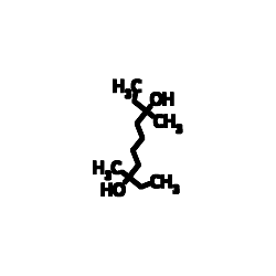 CCC(C)(O)CCCCC(C)(O)CC